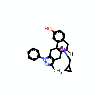 Cc1nn(-c2ccccc2)c2c1C[C@@]1(O)[C@H]3Cc4ccc(O)cc4[C@@]1(CCN3CC1CC1)C2